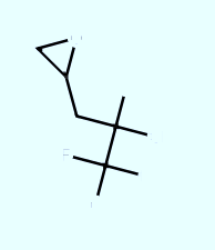 FC(F)(F)C(F)(F)C(F)(CC1CO1)C(F)(F)F